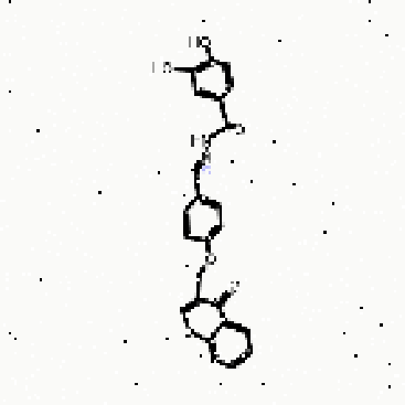 O=C(N/N=C/c1ccc(OCc2coc3ccccc3c2=O)cc1)c1ccc(O)c(O)c1